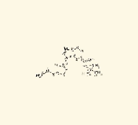 COCC1CCN(c2cnn3c2CN(C(=O)OC(C)(C)C)CC3)C1